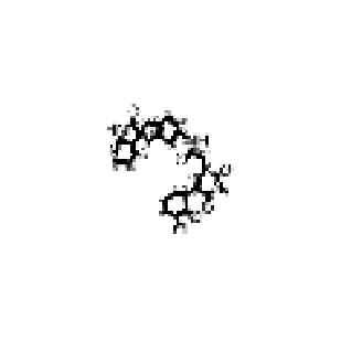 Cn1c(=O)c(-c2cccc(Cl)c2Cl)cn(CC(=O)Nc2ccc3c(c2)C[C@@]2(C3)C(=O)Nc3ncccc32)c1=O